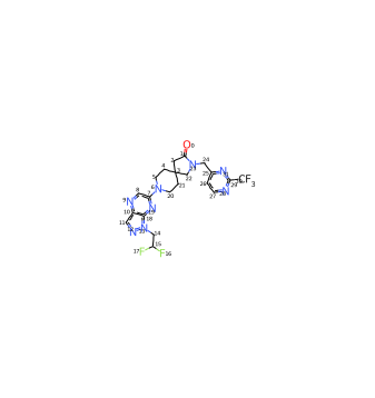 O=C1CC2(CCN(c3cnc4cnn(CC(F)F)c4n3)CC2)CN1Cc1ccnc(C(F)(F)F)n1